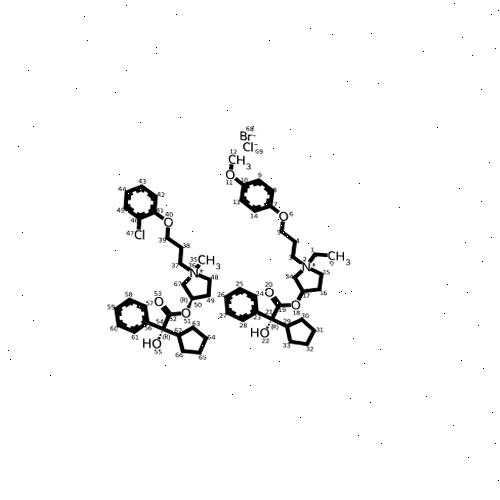 CC[N+]1(CCCOc2ccc(OC)cc2)CCC(OC(=O)[C@](O)(c2ccccc2)C2CCCC2)C1.C[N+]1(CCCOc2ccccc2Cl)CC[C@@H](OC(=O)[C@](O)(c2ccccc2)C2CCCC2)C1.[Br-].[Cl-]